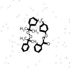 CC(C)(OOC(C)(C)c1ccccc1)c1ccccc1.Cc1ccc(OOC(=O)c2ccccc2)cc1